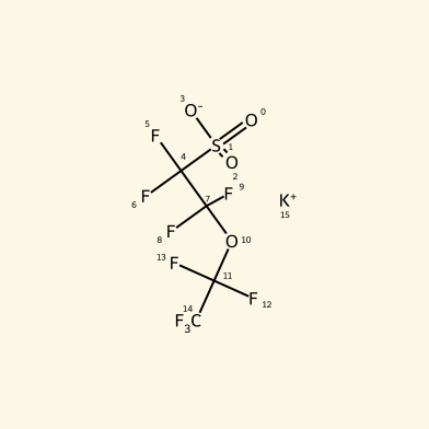 O=S(=O)([O-])C(F)(F)C(F)(F)OC(F)(F)C(F)(F)F.[K+]